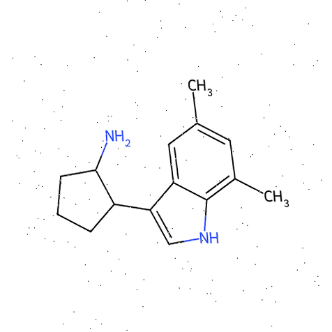 Cc1cc(C)c2[nH]cc(C3CCCC3N)c2c1